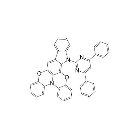 c1ccc(-c2cc(-c3ccccc3)nc(-n3c4ccccc4c4cc5c6c(c43)Oc3ccccc3N6c3ccccc3O5)n2)cc1